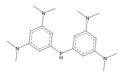 CN(C)c1cc(Pc2cc(N(C)C)cc(N(C)C)c2)cc(N(C)C)c1